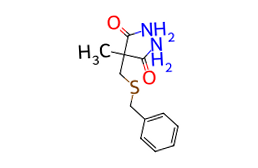 CC(CSCc1ccccc1)(C(N)=O)C(N)=O